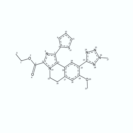 CCOC(=O)c1nc(-c2cccs2)c2n1CCc1cc(OC)c(-c3nnn(C)n3)cc1-2